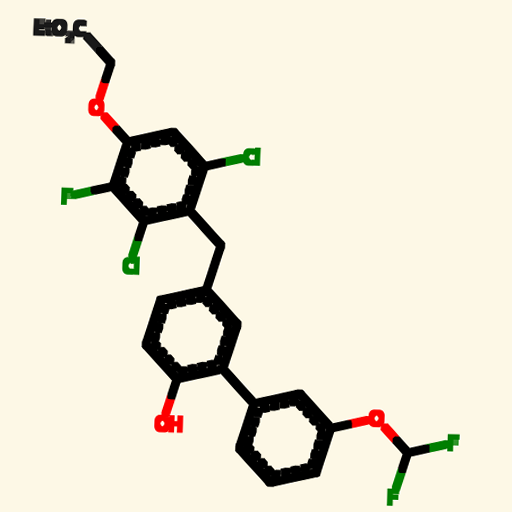 CCOC(=O)COc1cc(Cl)c(Cc2ccc(O)c(-c3cccc(OC(F)F)c3)c2)c(Cl)c1F